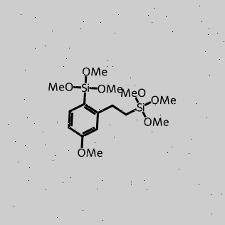 COc1ccc([Si](OC)(OC)OC)c(CC[Si](OC)(OC)OC)c1